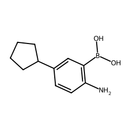 Nc1ccc(C2CCCC2)cc1B(O)O